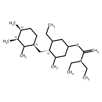 C=C(SC1CC(C)[C@H](C[C@@H]2CC[C@H](C)[C@H](C)C2C)C(CC)C1)N(CC)CC